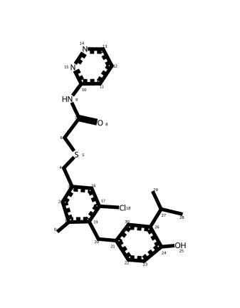 Cc1cc(CSCC(=O)Nc2cccnn2)cc(Cl)c1Cc1ccc(O)c(C(C)C)c1